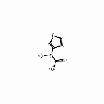 CC(=O)N(C)c1cc[nH]c1